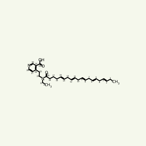 CCC=CCC=CCC=CCC=CCC=CCCCC(=O)N(CC)CCc1ccncc1C(=O)O